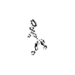 c1cncc(-c2cccc(-c3nc(-c4ccc(-c5ccc(-c6ccc7oc8ccccc8c7c6)c6oc7ccccc7c56)cc4)nc(-c4ccc5c(c4)oc4ccccc45)n3)c2)c1